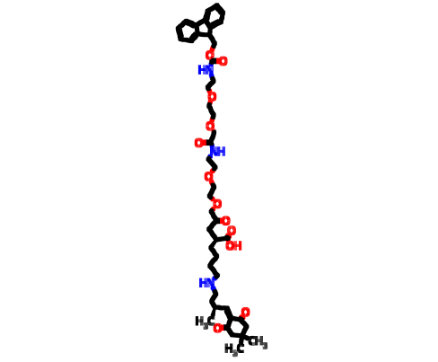 C[C@H](C=C1C(=O)CC(C)(C)CC1=O)CCNCCCC[C@@H](CC(=O)COCCOCCNC(=O)COCCOCCNC(=O)OCC1c2ccccc2-c2ccccc21)C(=O)O